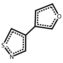 c1cc(-c2cnsc2)co1